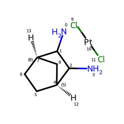 NC1C(N)[C@H]2CC[C@@H]1C2.[Cl][Pt][Cl]